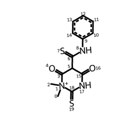 C[N+]1(C)C(=O)C(C(=S)Nc2ccccc2)C(=O)NC1=S